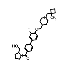 O=C(c1ccc(-c2ccc(OCC3CCN(CC4(C(F)(F)F)CCC4)CC3)c(F)c2)cc1)N1CCCC1CO